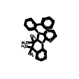 CC1(C)c2ccccc2N2c3nccnc3N(c3ccccc3-c3ccccc3)C2C1(C)C